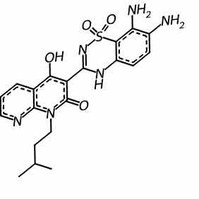 CC(C)CCn1c(=O)c(C2=NS(=O)(=O)c3c(ccc(N)c3N)N2)c(O)c2cccnc21